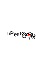 C=C(C)C(=O)OCOc1ccc2cc(-c3ccc(CCCCC)cc3C(F)(F)F)sc2c1